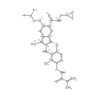 C=C(C)C(=O)NCc1ccc(Cl)c(Nc2nc3cc(C(=O)NCC4CC4)c(OCC(F)F)cc3n2C)c1Cl